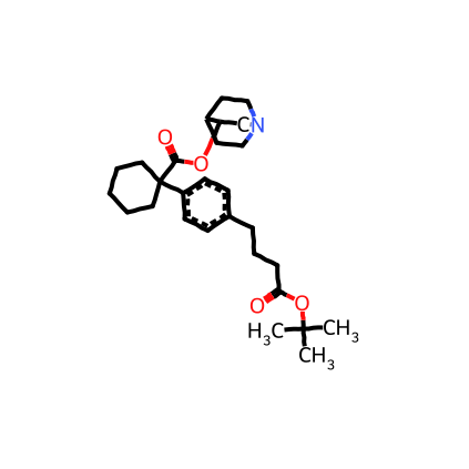 CC(C)(C)OC(=O)CCCc1ccc(C2(C(=O)OC3CN4CCC3CC4)CCCCC2)cc1